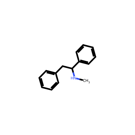 CNC(Cc1ccccc1)c1ccccc1